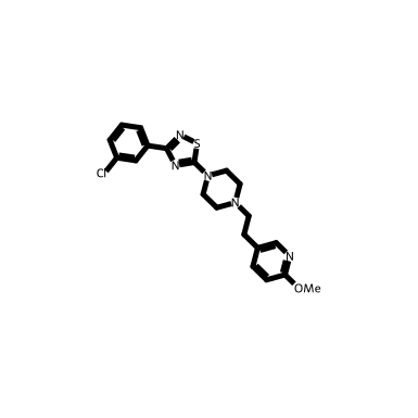 COc1ccc(CCN2CCN(c3nc(-c4cccc(Cl)c4)ns3)CC2)cn1